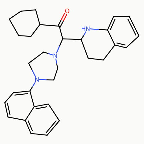 O=C(C1CCCCC1)C(C1CCc2ccccc2N1)N1CCN(c2cccc3ccccc23)CC1